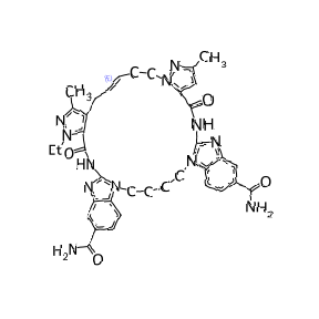 CCn1nc(C)c2c1C(=O)Nc1nc3cc(C(N)=O)ccc3n1CCCCn1c(nc3cc(C(N)=O)ccc31)NC(=O)c1cc(C)nn1CC/C=C/C2